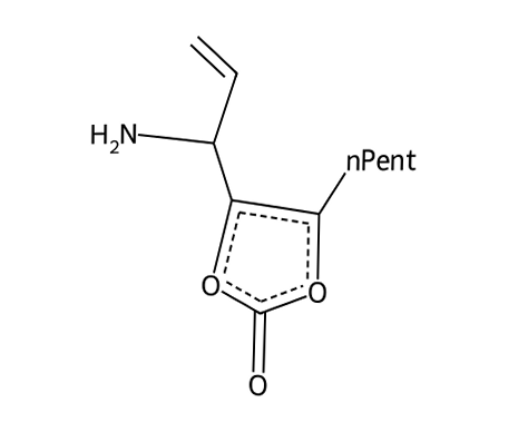 C=CC(N)c1oc(=O)oc1CCCCC